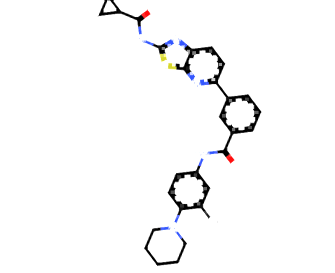 O=C(Nc1ccc(N2CCCCC2)c(C(F)(F)F)c1)c1cccc(-c2ccc3nc(NC(=O)C4CC4)sc3n2)c1